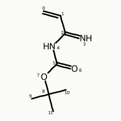 C=CC(=N)NC(=O)OC(C)(C)C